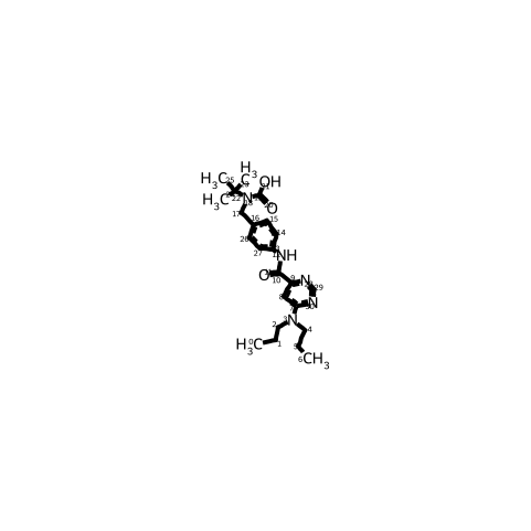 CCCN(CCC)c1cc(C(=O)Nc2ccc(CN(C(=O)O)C(C)(C)C)cc2)ncn1